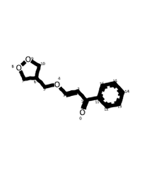 O=C(C=COCC1COOC1)c1ccccc1